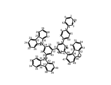 c1cncc(-c2ccc(-c3cc(-c4cc(-n5c6ccccc6c6ccccc65)cc(-n5c6ccccc6c6ccccc65)c4)nc(-c4cccc5oc6ccccc6c45)n3)cc2)c1